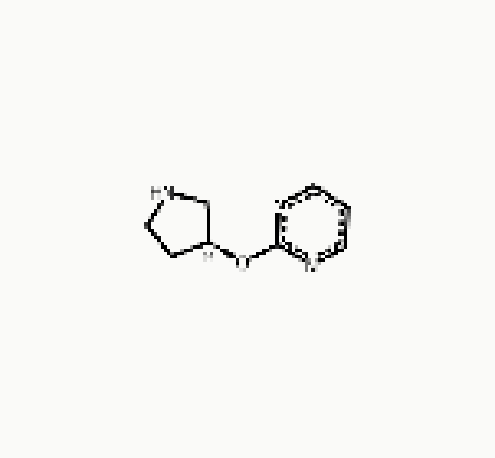 c1cnc(O[C@H]2CCNC2)nc1